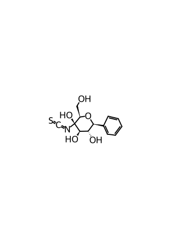 OC[C@H]1O[C@@H](c2ccccc2)[C@H](O)[C@@H](O)[C@]1(O)N=C=S